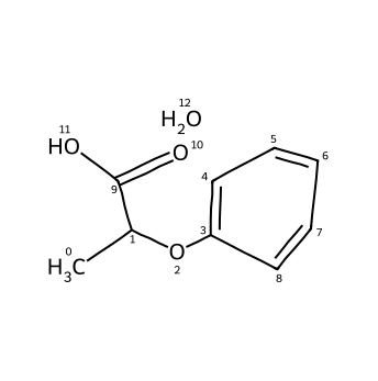 CC(Oc1ccccc1)C(=O)O.O